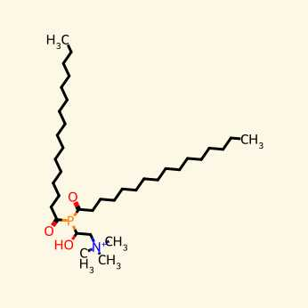 CCCCCCCCCCCCCCCC(=O)P(C(=O)CCCCCCCCCCCCCCC)C(O)C[N+](C)(C)C